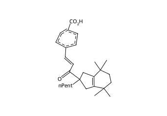 CCCCCC1(C(=O)/C=C/c2ccc(C(=O)O)cc2)CC2=C(C1)C(C)(C)CCC2(C)C